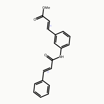 COC(=O)/C=C/c1cccc(NC(=O)/C=C/c2ccccc2)c1